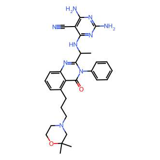 CC(Nc1nc(N)nc(N)c1C#N)c1nc2cccc(CCCN3CCOC(C)(C)C3)c2c(=O)n1-c1ccccc1